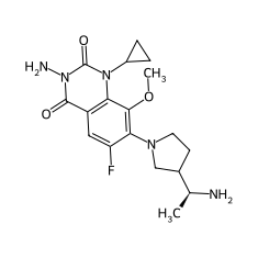 COc1c(N2CCC([C@H](C)N)C2)c(F)cc2c(=O)n(N)c(=O)n(C3CC3)c12